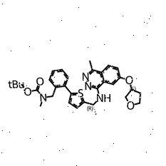 Cc1nnc(N[C@H](C)c2ccc(-c3ccccc3CN(C)C(=O)OC(C)(C)C)s2)c2cc(O[C@H]3CCOC3)ccc12